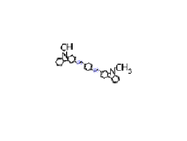 C#Cn1c2ccccc2c2cc(/C=C/c3ccc(/C=C/c4ccc5c6ccccc6n(CC)c5c4)cc3)ccc21